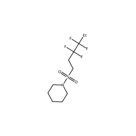 CCC(F)(F)C(F)(F)CCS(=O)(=O)N1CCCCC1